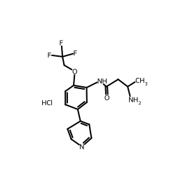 CC(N)CC(=O)Nc1cc(-c2ccncc2)ccc1OCC(F)(F)F.Cl